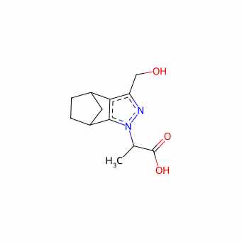 CC(C(=O)O)n1nc(CO)c2c1C1CCC2C1